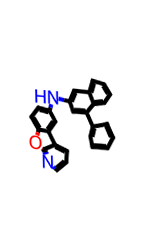 c1ccc(-c2cc(Nc3ccc4oc5ncccc5c4c3)cc3ccccc23)cc1